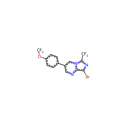 FC(F)(F)Oc1ccc(-c2cnc3c(Br)nc(C(F)(F)F)n3c2)cc1